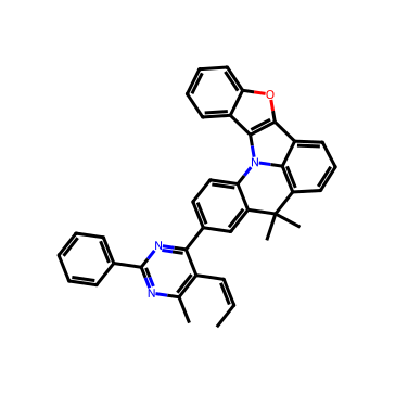 C/C=C\c1c(C)nc(-c2ccccc2)nc1-c1ccc2c(c1)C(C)(C)c1cccc3c4oc5ccccc5c4n-2c13